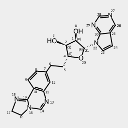 O[C@@H]1[C@H](O)[C@@H](CCc2ccc3c(c2)N=CN2CCN=C32)O[C@H]1n1ccc2cncnc21